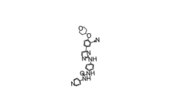 N#Cc1cc(-c2ccnc(Nc3ccc(NC(=O)Nc4ccncc4)cc3)n2)ccc1OC1CCOCC1